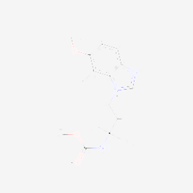 CCOC(=O)Oc1ccc2ncn(CCC(C)(C)NC(=O)OC(C)(C)C)c2c1Cl